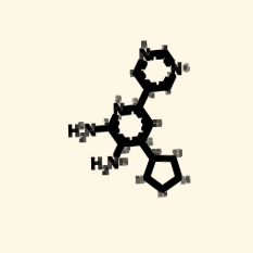 Nc1nc(-c2cncnc2)cc(C2CCCC2)c1N